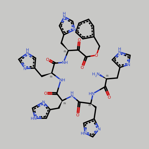 N[C@@H](Cc1c[nH]cn1)C(=O)N[C@@H](Cc1c[nH]cn1)C(=O)N[C@@H](Cc1c[nH]cn1)C(=O)N[C@@H](Cc1c[nH]cn1)C(=O)N[C@@H](Cc1c[nH]cn1)C(=O)C(=O)OCc1ccccc1